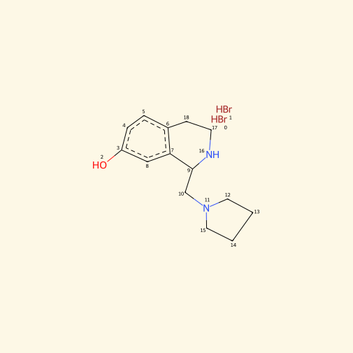 Br.Br.Oc1ccc2c(c1)C(CN1CCCC1)NCC2